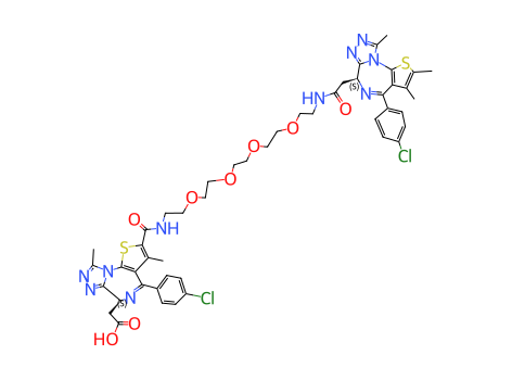 Cc1sc2c(c1C)C(c1ccc(Cl)cc1)=N[C@@H](CC(=O)NCCOCCOCCOCCOCCNC(=O)c1sc3c(c1C)C(c1ccc(Cl)cc1)=N[C@@H](CC(=O)O)c1nnc(C)n1-3)c1nnc(C)n1-2